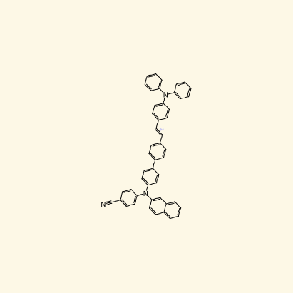 N#Cc1ccc(N(c2ccc(-c3ccc(/C=C/c4ccc(N(c5ccccc5)c5ccccc5)cc4)cc3)cc2)c2ccc3ccccc3c2)cc1